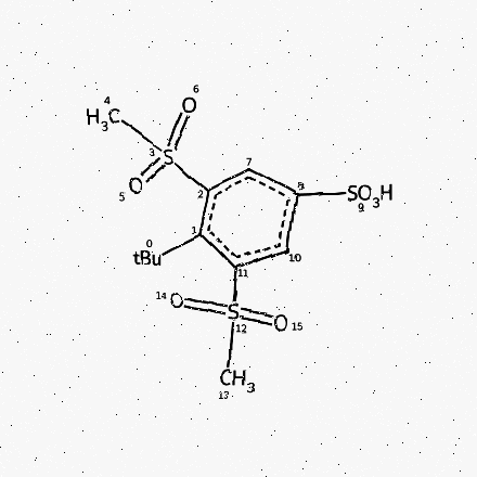 CC(C)(C)c1c(S(C)(=O)=O)cc(S(=O)(=O)O)cc1S(C)(=O)=O